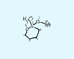 CCCO[Si]1(C)CCCCO1